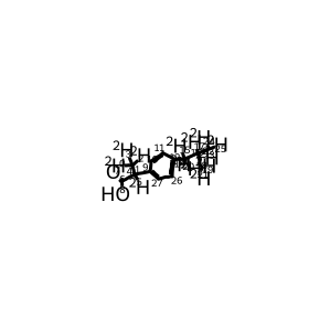 [2H]C([2H])([2H])C([2H])(C(=O)O)c1ccc(C([2H])([2H])C([2H])(C([2H])([2H])[2H])C([2H])([2H])[2H])cc1